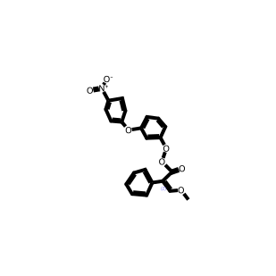 CO/C=C(\C(=O)OOc1cccc(Oc2ccc([N+](=O)[O-])cc2)c1)c1ccccc1